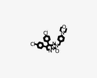 O=c1n(Cc2ccc(N3CCOCC3)cc2)nc2c(-c3ccc(Cl)cc3)c(-c3ccc(Cl)cc3)cnn12